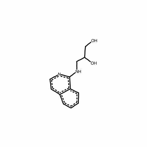 OCC(O)CNc1nccc2ccccc12